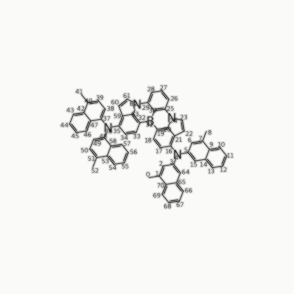 Cc1cc(N(c2cc(C)c3ccccc3c2)c2ccc3c4c2ccn4-c2cccc4c2B3c2ccc(N(c3ccc(C)c5ccccc35)c3ccc(C)c5ccccc35)c3ccn-4c23)cc2ccccc12